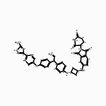 C=CC(c1ccc(Oc2cnc(-c3noc(C)n3)nc2)cc1)c1ccc(O[C@H]2C[C@H](Nc3ccc4c(c3)C(=O)N(C3CCC(=O)NC3=O)C4=O)C2)cc1